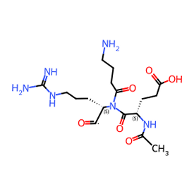 CC(=O)N[C@@H](CCC(=O)O)C(=O)N(C(=O)CCCN)[C@H]([C]=O)CCCNC(=N)N